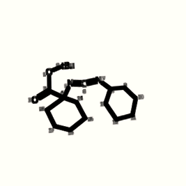 CC(C)(C)OC(=O)C1(N=C=NC2CCCCC2)CCCCC1